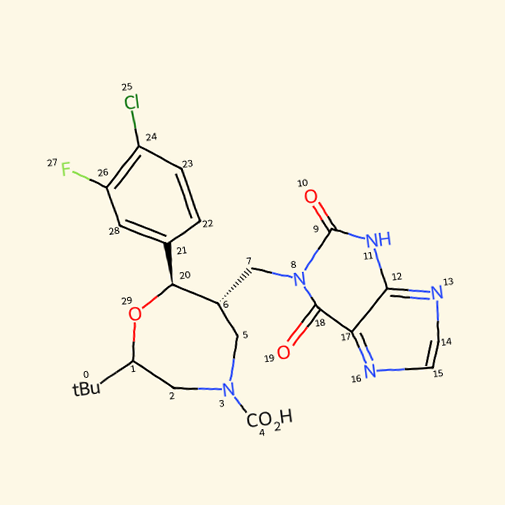 CC(C)(C)C1CN(C(=O)O)C[C@@H](Cn2c(=O)[nH]c3nccnc3c2=O)[C@H](c2ccc(Cl)c(F)c2)O1